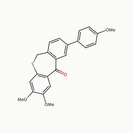 COc1ccc(-c2ccc3c(c2)C(=O)c2cc(OC)c(OC)cc2SC3)cc1